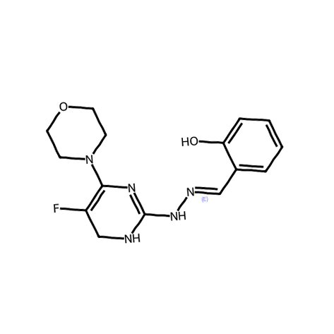 Oc1ccccc1/C=N/NC1=NC(N2CCOCC2)=C(F)CN1